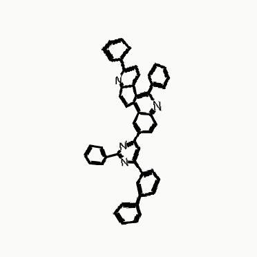 c1ccc(-c2cccc(-c3cc(-c4ccc5nc(-c6ccccc6)c6c7ccc(-c8ccccc8)nc7ccc6c5c4)nc(-c4ccccc4)n3)c2)cc1